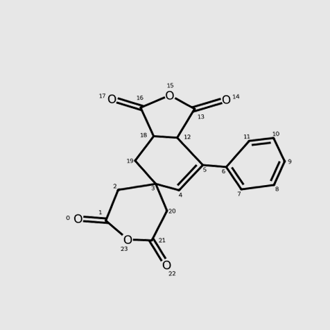 O=C1CC2(C=C(c3ccccc3)C3C(=O)OC(=O)C3C2)CC(=O)O1